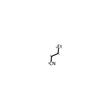 [CH]CCCC#N